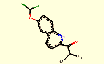 CC(C)C(=O)c1ccc2cc(OC(F)F)ccc2n1